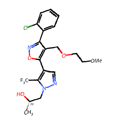 COCCOCc1c(-c2ccccc2Cl)noc1-c1cnn(C[C@H](C)O)c1C(F)(F)F